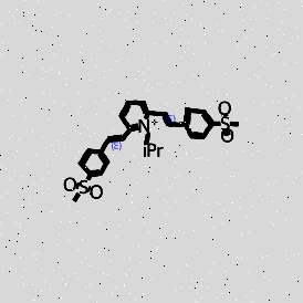 CC(C)C[n+]1c(/C=C/c2ccc(S(C)(=O)=O)cc2)cccc1/C=C/c1ccc(S(C)(=O)=O)cc1